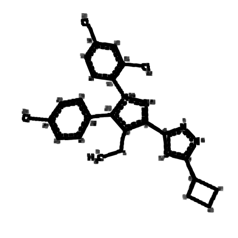 CCc1c(-c2nnc(C3CCC3)s2)nn(-c2ccc(Cl)cc2Cl)c1-c1ccc(Cl)cc1